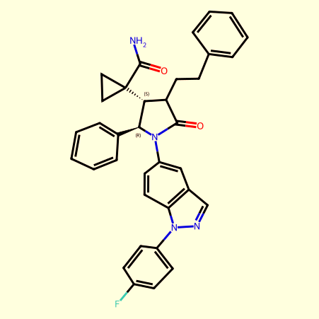 NC(=O)C1([C@@H]2C(CCc3ccccc3)C(=O)N(c3ccc4c(cnn4-c4ccc(F)cc4)c3)[C@H]2c2ccccc2)CC1